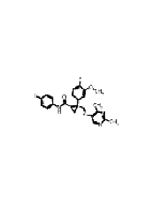 COC1=CC([C@]2(COc3cnc(C)nc3C)C[C@H]2C(=O)Nc2ccc(F)cc2)CC=C1F